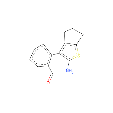 Nc1sc2c(c1-c1ccccc1C=O)CCC2